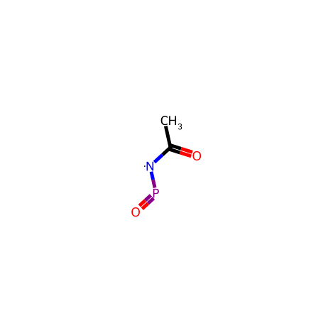 CC(=O)[N]P=O